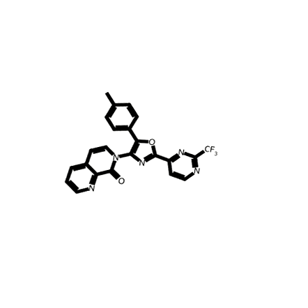 Cc1ccc(-c2oc(-c3ccnc(C(F)(F)F)n3)nc2-n2ccc3cccnc3c2=O)cc1